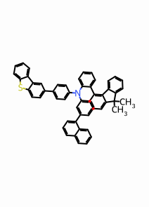 CC1(C)c2ccccc2-c2c(-c3ccccc3N(c3ccc(-c4ccc5sc6ccccc6c5c4)cc3)c3cccc(-c4cccc5ccccc45)c3)cccc21